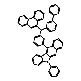 c1ccc(-c2cccc(N(c3cccc(-c4c5ccccc5cc5c4c4ccccc4n5-c4ccccc4)c3)c3cc4ccccc4c4ccccc34)c2)cc1